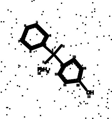 CC(C)(c1ccccc1)c1ccc(O)cc1.[PbH2]